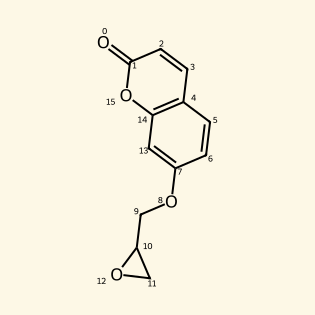 O=c1ccc2ccc(OCC3CO3)cc2o1